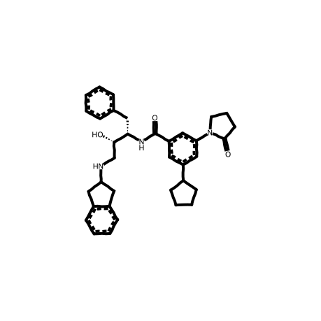 O=C(N[C@@H](Cc1ccccc1)[C@@H](O)CNC1Cc2ccccc2C1)c1cc(C2CCCC2)cc(N2CCCC2=O)c1